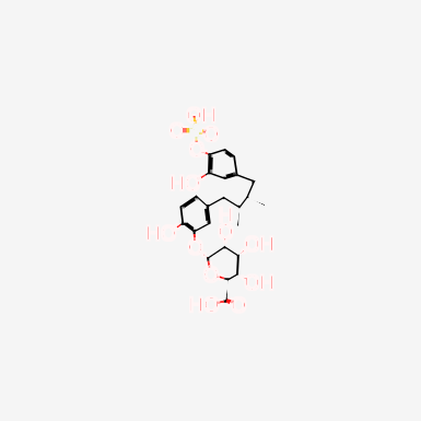 C[C@H](Cc1ccc(OS(=O)(=O)O)c(O)c1)[C@@H](C)Cc1ccc(O)c(O[C@@H]2O[C@H](C(=O)O)[C@@H](O)[C@H](O)[C@H]2O)c1